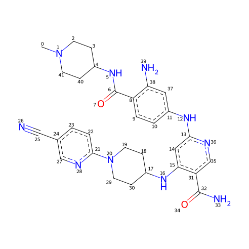 CN1CCC(NC(=O)c2ccc(Nc3cc(NC4CCN(c5ccc(C#N)cn5)CC4)c(C(N)=O)cn3)cc2N)CC1